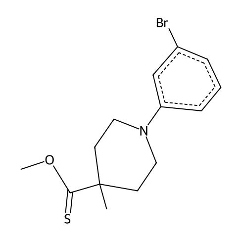 COC(=S)C1(C)CCN(c2cccc(Br)c2)CC1